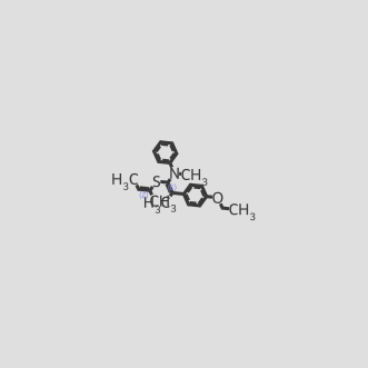 C/C=C(/C)S/C(=C(\C)c1ccc(OCC)cc1)N(C)c1ccccc1